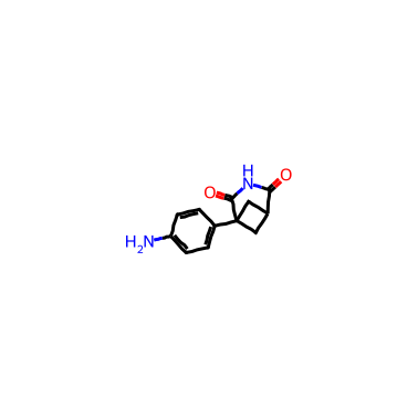 Nc1ccc(C23CC(C2)C(=O)NC3=O)cc1